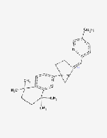 CC1(C)CCC(C)(C)c2cc(C34CC/C(=C\c5ccc(C(=O)O)cn5)C3C4)ccc21